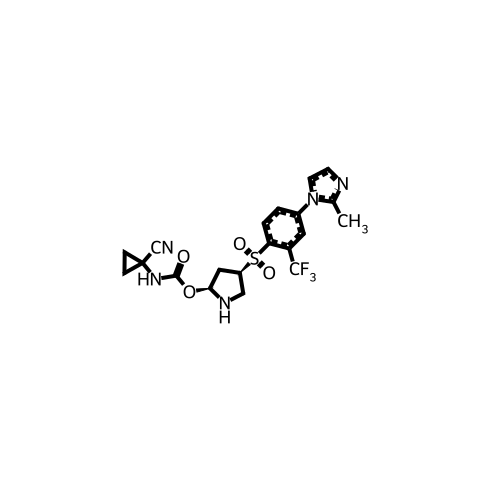 Cc1nccn1-c1ccc(S(=O)(=O)[C@H]2CN[C@@H](OC(=O)NC3(C#N)CC3)C2)c(C(F)(F)F)c1